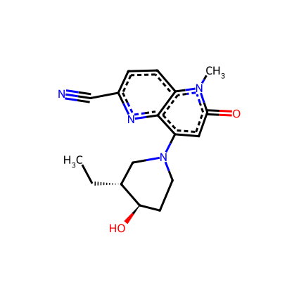 CC[C@@H]1CN(c2cc(=O)n(C)c3ccc(C#N)nc23)CC[C@H]1O